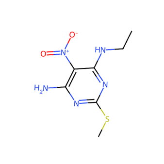 CCNc1nc(SC)nc(N)c1[N+](=O)[O-]